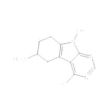 Cn1c2c(c3c(Cl)ncnc31)CC(C(=O)O)CC2